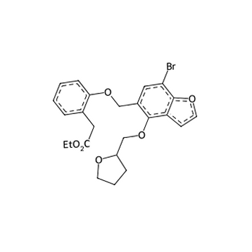 CCOC(=O)Cc1ccccc1OCc1cc(Br)c2occc2c1OCC1CCCO1